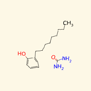 CCCCCCCCCc1ccccc1O.NC(N)=O